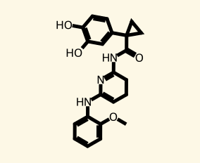 COc1ccccc1NC1=CCCC(NC(=O)C2(c3ccc(O)c(O)c3)CC2)=N1